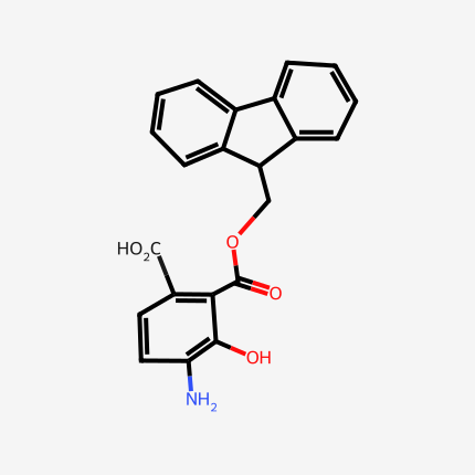 Nc1ccc(C(=O)O)c(C(=O)OCC2c3ccccc3-c3ccccc32)c1O